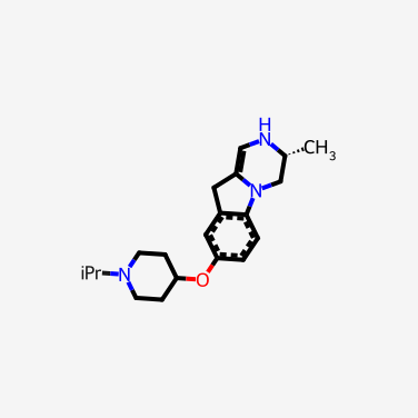 CC(C)N1CCC(Oc2ccc3c(c2)CC2=CN[C@H](C)CN23)CC1